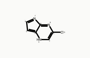 Clc1c[nH]c2ccnc-2n1